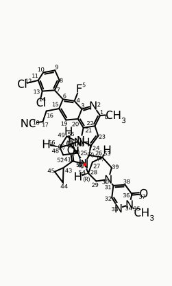 Cc1nc2c(F)c(-c3cccc(Cl)c3Cl)c(CCC#N)cc2c2c1cc([C@H]1[C@H]3C[C@H](CN(c4cnn(C)c(=O)c4)C3)N1C(=O)C1CC1)n2[C@H]1[C@H]2CN[C@@H]1C2